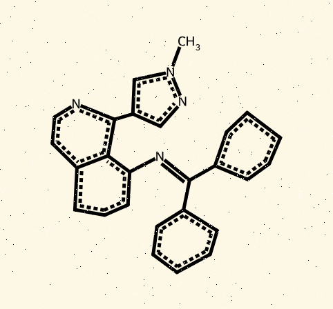 Cn1cc(-c2nccc3cccc(N=C(c4ccccc4)c4ccccc4)c23)cn1